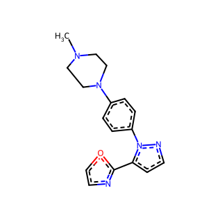 CN1CCN(c2ccc(-n3nccc3-c3ncco3)cc2)CC1